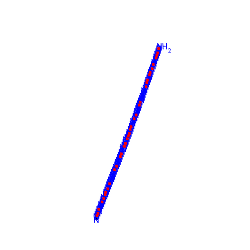 N#C/N=N/N=N/N=N/N=N/N=N/N=N/N=N/N=N/N=N/N=N/N=N/N=N/N=N/N=N/N=N/N=N/N=N/N=N/N=N/N=N/N=N/N=N/N=N/N=N/N=N/N=N/N=N/N=N/N=N/N=N/N=N/N=N/N=N/N=N/N=N/N=N/N=N/N=N/N=N/N=N/N=N/N=N/N=N/N=N/N=N/N=N/N=N/N=N/N=N/N=N/N=N/N=N/N=N/N=N/N=N/N=N/N=N/N=N/N=N/N=N/N=N/N=N/N=N/N=N/N=N/N=N/N=N/N